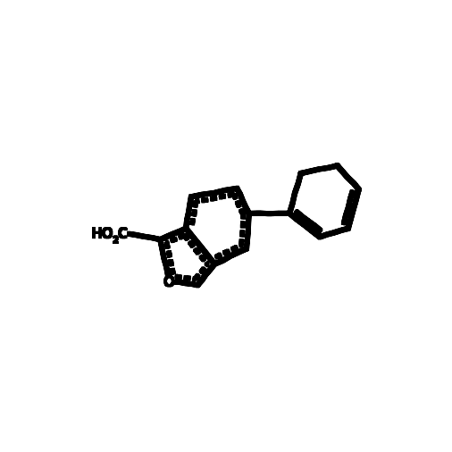 O=C(O)c1occ2cc(C3=CC=CCC3)ccc12